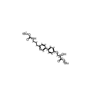 CC(C)(C)OC(=O)NCCCc1ccc(-c2ccc(OC[C@@H](O)C(=O)OC(C)(C)C)cc2)cn1